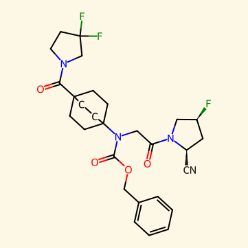 N#C[C@@H]1C[C@H](F)CN1C(=O)CN(C(=O)OCc1ccccc1)C12CCC(C(=O)N3CCC(F)(F)C3)(CC1)CC2